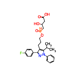 CC(C)c1c(CCCO[PH](=O)CC(O)CC(=O)O)c(-c2ccc(F)cc2)nn1-c1ccccc1